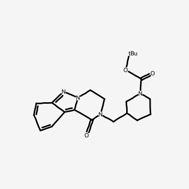 CC(C)(C)OC(=O)N1CCCC(CN2CCn3nc4ccccc4c3C2=O)C1